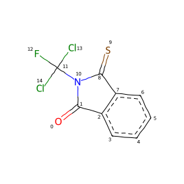 O=C1c2ccccc2C(=S)N1C(F)(Cl)Cl